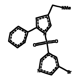 CNCc1cc(-c2ccccc2)n(S(=O)(=O)c2cncc(Br)c2)c1